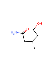 C[C@@H]([CH]CO)CC(N)=O